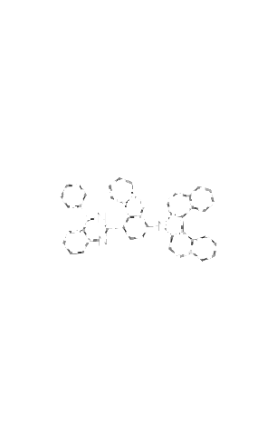 c1ccc(-c2nc(-c3ccc(-n4c5ccc6ccccc6c5c5c6ccccc6ccc54)c4oc5ccccc5c34)nc3ccccc23)cc1